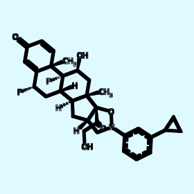 C[C@]12C=CC(=O)C=C1[C@@H](F)C[C@H]1[C@@H]3C[C@H]4CN(c5cccc(C6CC6)c5)O[C@@]4(C(=O)CO)[C@@]3(C)C[C@H](O)[C@@]12F